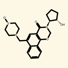 O=C1c2cc(CN3CC[S+]([O-])CC3)c3ccccc3c2OCN1[C@H]1CCC[C@@H]1O